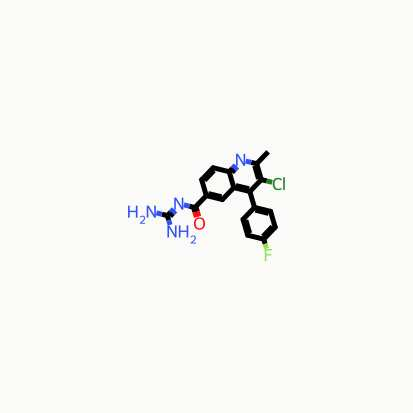 Cc1nc2ccc(C(=O)N=C(N)N)cc2c(-c2ccc(F)cc2)c1Cl